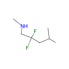 CNCC(F)(F)CC(C)C